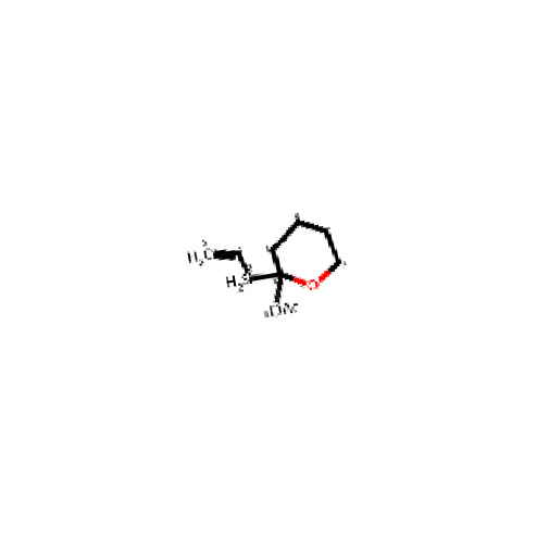 C=C[SiH2]C1(OC(C)=O)CCCCO1